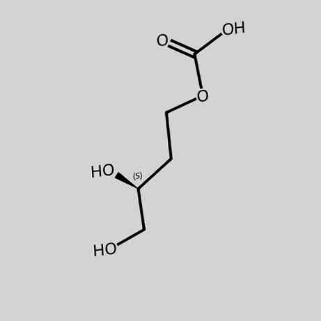 O=C(O)OCC[C@H](O)CO